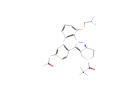 Cc1cccc(OCC(C)C)c1-n1nc2c(c1-c1ccc(NC(N)=O)cc1)CN(C(=O)C(C)(C)C)CC2